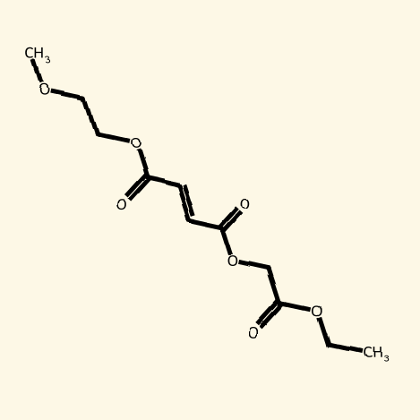 CCOC(=O)COC(=O)/C=C/C(=O)OCCOC